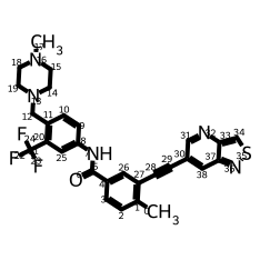 Cc1ccc(C(=O)Nc2ccc(CN3CCN(C)CC3)c(C(F)(F)F)c2)cc1C#Cc1cnc2csnc2c1